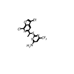 CCc1coc2c(Cl)nc(C(C)Sc3nc(N)cc(C(F)(F)F)n3)cc12